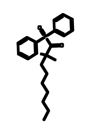 CCCCCCCC(C)(C)C(=O)P(=O)(c1ccccc1)c1ccccc1